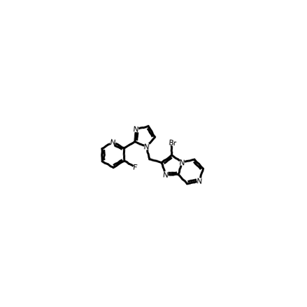 Fc1cccnc1-c1nccn1Cc1nc2cnccn2c1Br